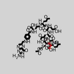 CC(=O)CC[C@H](NC(=O)CC[C@H](NC(=O)c1ccc(NCc2cnc3nc(N)[nH]c(=O)c3n2)cc1)C(=O)O)C(=O)N[C@@H](CCC(=O)O)C(=O)N[C@@H](CCC(C)=O)C(=O)N[C@@H](CCC(=O)O)C(=O)N[C@@H](CCC(C)=O)C(=O)N[C@@H](CSSOC(C)=O)C(=O)O